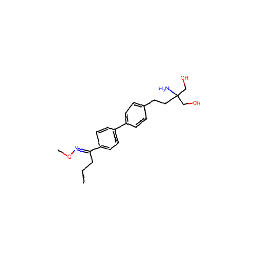 CCC/C(=N\OC)c1ccc(-c2ccc(CCC(N)(CO)CO)cc2)cc1